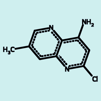 Cc1cnc2c(N)cc(Cl)nc2c1